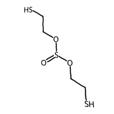 O=S(OCCS)OCCS